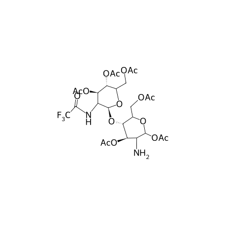 CC(=O)OCC1OC(OC(C)=O)C(N)[C@@H](OC(C)=O)[C@@H]1O[C@@H]1OC(COC(C)=O)[C@@H](OC(C)=O)[C@H](OC(C)=O)C1NC(=O)C(F)(F)F